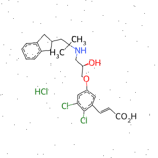 CC(C)(CC1Cc2ccccc2C1)NC[C@@H](O)COc1cc(Cl)c(Cl)c(/C=C/C(=O)O)c1.Cl